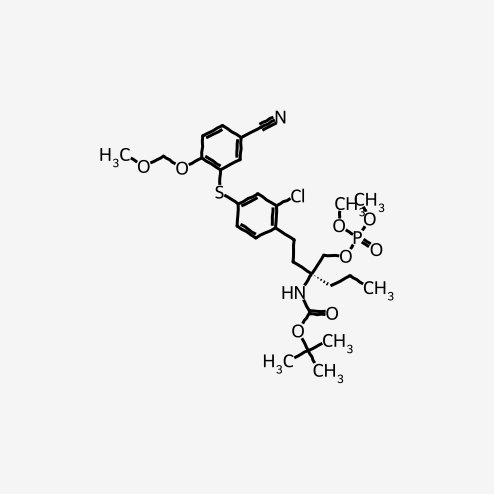 CCC[C@](CCc1ccc(Sc2cc(C#N)ccc2OCOC)cc1Cl)(COP(=O)(OC)OC)NC(=O)OC(C)(C)C